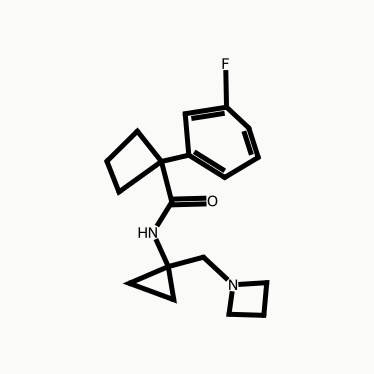 O=C(NC1(CN2CCC2)CC1)C1(c2cccc(F)c2)CCC1